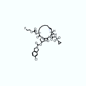 O=C(N[C@H]1CCCCC/C=C/[C@@H]2C[C@@]2(C(=O)NS(=O)(=O)C2CC2)NC(=O)[C@@H]2C[C@@H](OC(=O)N3Cc4ccc(Cl)cc4C3)CN2C1=O)OCCF